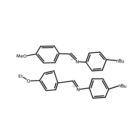 CCCCc1ccc(/N=C/c2ccc(OC)cc2)cc1.CCCCc1ccc(/N=C/c2ccc(OCC)cc2)cc1